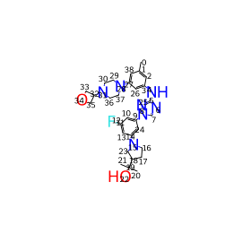 Cc1cc(Nc2ncn(-c3cc(F)cc(N4CC[C@@H](C(C)(C)O)C4)c3)n2)cc(N2CCN(C3COC3)CC2)c1